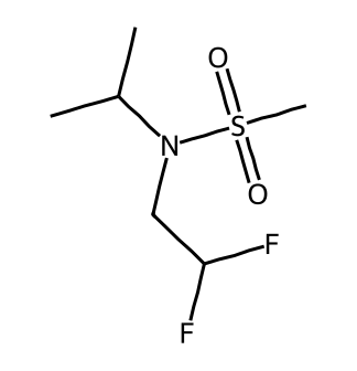 CC(C)N(CC(F)F)S(C)(=O)=O